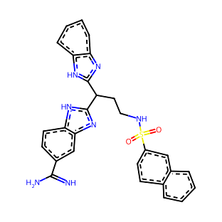 N=C(N)c1ccc2[nH]c(C(CCNS(=O)(=O)c3ccc4ccccc4c3)c3nc4ccccc4[nH]3)nc2c1